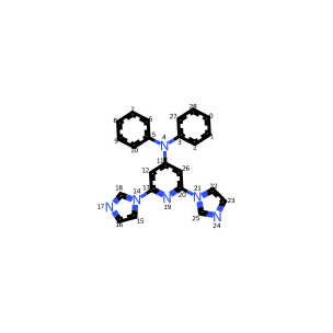 c1ccc(N(c2ccccc2)c2cc(-n3ccnc3)nc(-n3ccnc3)c2)cc1